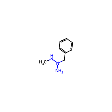 CNN(N)Cc1ccccc1